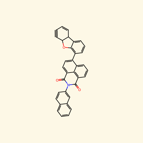 O=C1c2cccc3c(-c4cccc5c4OC4C#CC=CC54)ccc(c23)C(=O)N1c1ccc2ccccc2c1